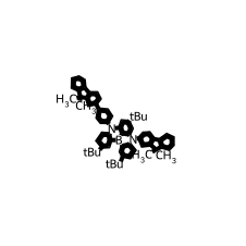 CC(C)(C)c1ccc2c(c1)B1c3cc(C(C)(C)C)ccc3N(c3ccc4c(c3)C(C)(C)c3ccccc3-4)c3cc(C(C)(C)C)cc(c31)N2c1ccc(-c2ccc3c(c2)C(C)(C)c2ccccc2-3)cc1